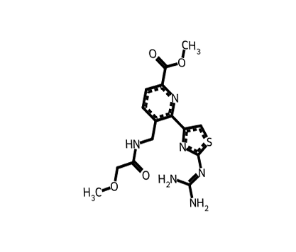 COCC(=O)NCc1ccc(C(=O)OC)nc1-c1csc(N=C(N)N)n1